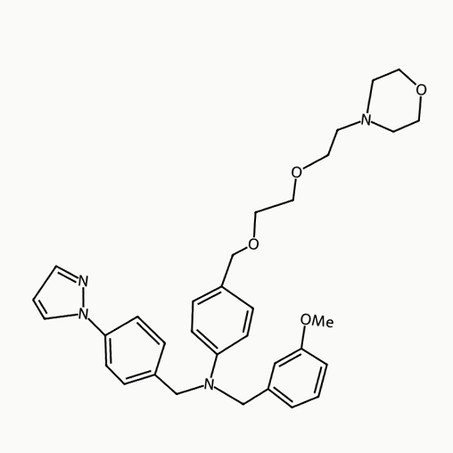 COc1cccc(CN(Cc2ccc(-n3cccn3)cc2)c2ccc(COCCOCCN3CCOCC3)cc2)c1